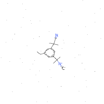 [C-]#[N+]C(C)(C)c1cc(CC)cc(C(C)(C)C#N)c1